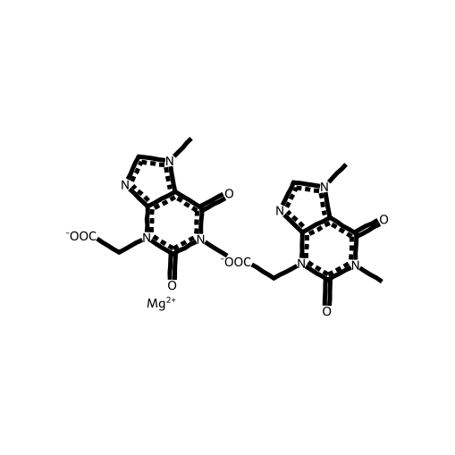 Cn1c(=O)c2c(ncn2C)n(CC(=O)[O-])c1=O.Cn1c(=O)c2c(ncn2C)n(CC(=O)[O-])c1=O.[Mg+2]